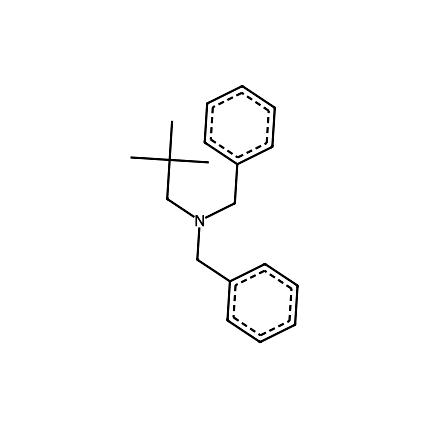 CC(C)(C)CN(Cc1ccccc1)Cc1ccccc1